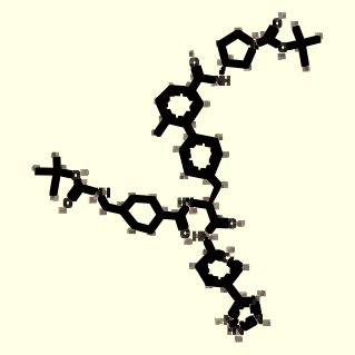 Cc1ccc(C(=O)N[C@@H]2CCN(C(=O)OC(C)(C)C)C2)cc1-c1ccc(C[C@H](NC(=O)C2CCC(CNC(=O)OC(C)(C)C)CC2)C(=O)Nc2ccc(-c3nn[nH]n3)cc2)cc1